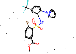 COC(=O)c1ccc(Br)c(S(=O)(=O)Nc2cc(C(F)(F)F)ccc2-n2cccc2)c1